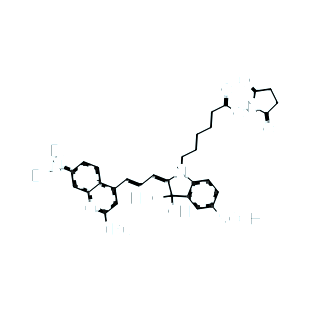 CC[N+](CC)=c1ccc2c(/C=C/C=C3/N(CCCCCC(=O)ON4C(=O)CCC4=O)c4ccc(S(=O)(=O)O)cc4C3(C)C)cc(C(C)(C)C)oc-2c1